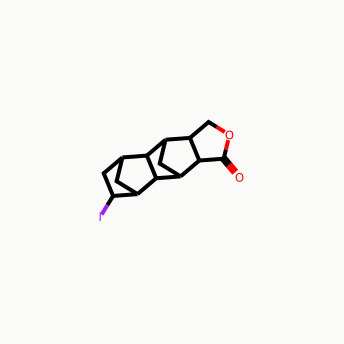 O=C1OCC2C3CC(C12)C1C2CC(CC2I)C31